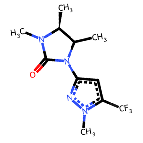 CC1[C@H](C)N(C)C(=O)N1c1cc(C(F)(F)F)n(C)n1